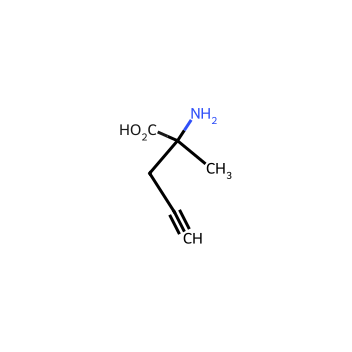 C#CCC(C)(N)C(=O)O